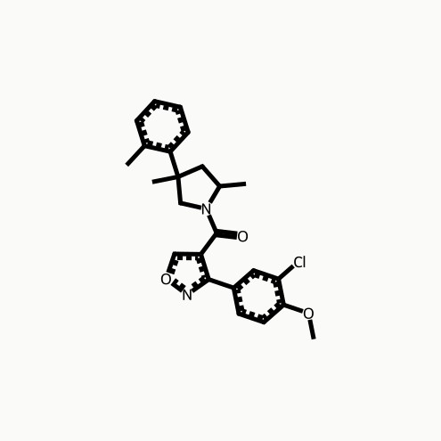 COc1ccc(-c2nocc2C(=O)N2CC(C)(c3ccccc3C)CC2C)cc1Cl